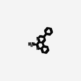 Nc1nc2ccccc2c2cc(-c3ccccc3)cnc12